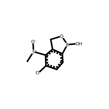 C[S+]([O-])c1c(Cl)ccc2c1COB2O